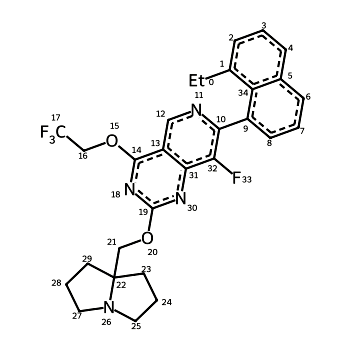 CCc1cccc2cccc(-c3ncc4c(OCC(F)(F)F)nc(OCC56CCCN5CCC6)nc4c3F)c12